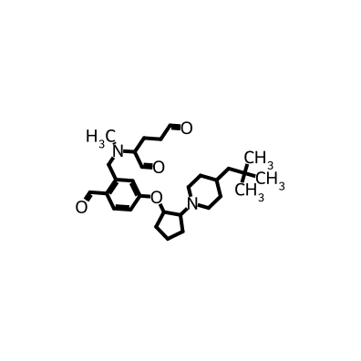 CN(Cc1cc(OC2CCCC2N2CCC(CC(C)(C)C)CC2)ccc1C=O)C(C=O)CCC=O